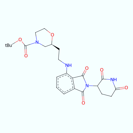 CC(C)(C)OC(=O)N1CCO[C@@H](CCNc2cccc3c2C(=O)N(C2CCC(=O)NC2=O)C3=O)C1